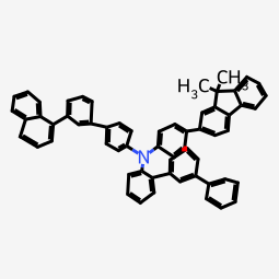 CC1(C)c2ccccc2-c2ccc(-c3ccc(N(c4ccc(-c5cccc(-c6cccc7ccccc67)c5)cc4)c4ccccc4-c4cccc(-c5ccccc5)c4)cc3)cc21